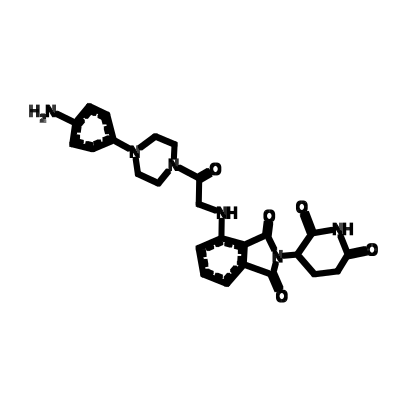 Nc1ccc(N2CCN(C(=O)CNc3cccc4c3C(=O)N(C3CCC(=O)NC3=O)C4=O)CC2)cc1